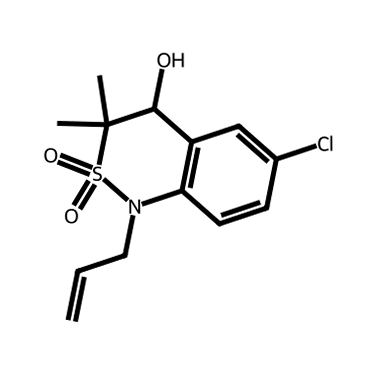 C=CCN1c2ccc(Cl)cc2C(O)C(C)(C)S1(=O)=O